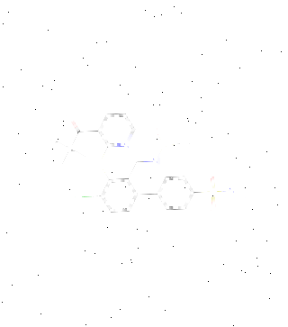 CC(C)(C)[S+]([O-])NCc1c(-c2ccc(S(N)(=O)=O)cc2)ccc(Cl)c1Sc1ncccc1C(=O)[Si](C)(C)C(C)(C)C